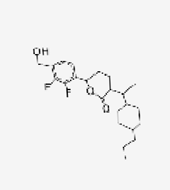 CCCC1CCC(C(C)C2CCC(c3ccc(CO)c(F)c3F)OC2=O)CC1